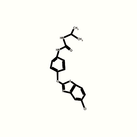 CC(C)NC(=O)Nc1ccc(Oc2nc3cc(Cl)ccc3s2)cc1